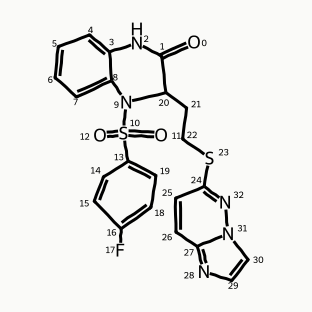 O=C1Nc2ccccc2N(S(=O)(=O)c2ccc(F)cc2)C1CCSc1ccc2nccn2n1